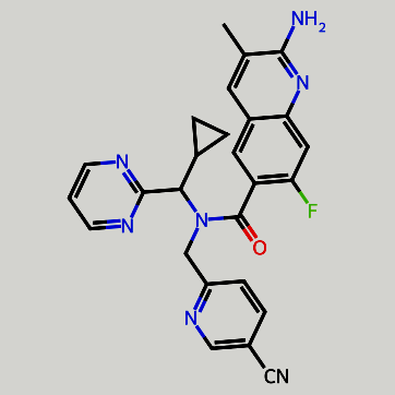 Cc1cc2cc(C(=O)N(Cc3ccc(C#N)cn3)C(c3ncccn3)C3CC3)c(F)cc2nc1N